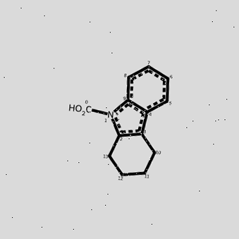 O=C(O)n1c2c(c3ccccc31)CCCC2